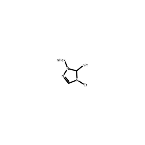 CCCCCCN1N=CN(CC)C1CCC